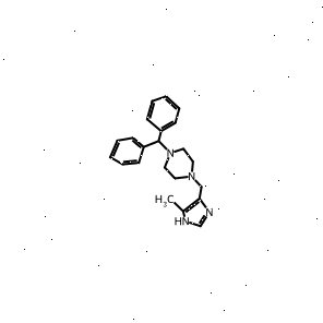 Cc1[nH]cnc1CN1CCN(C(c2ccccc2)c2ccccc2)CC1